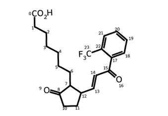 O=C(O)CCCCCCC1C(=O)CCC1C=CC(=O)c1ccccc1C(F)(F)F